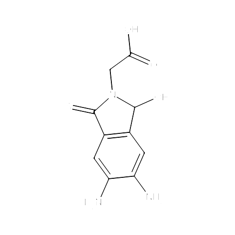 Nc1cc2c(cc1N)C(O)N(CC(=O)O)C2=S